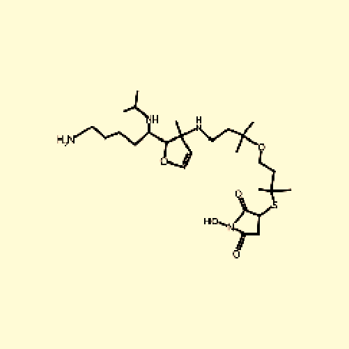 CC(C)NC(CCCCN)C1OC=CC1(C)NCCC(C)(C)OCCC(C)(C)SC1CC(=O)N(O)C1=O